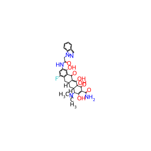 CN(C)[C@@H]1C(O)=C(C(N)=O)C(=O)[C@@]2(O)C(O)=C3C(=O)c4c(O)c(NC(=O)Cn5ncc6ccccc65)cc(F)c4C[C@H]3C[C@@H]12